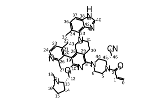 C=CC(=O)N1CCN(c2nc(OC[C@@H]3CCCN3C)c(-c3c(C)ccnc3C)c3c2CCN(c2c(C)ccc4[nH]cnc24)C3)C[C@@H]1CC#N